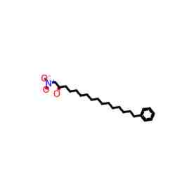 O=C(CCCCCCCCCCCCCCc1ccccc1)C[N+](=O)[O-]